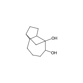 OC1CCCC2C3CCC2C1(O)C3